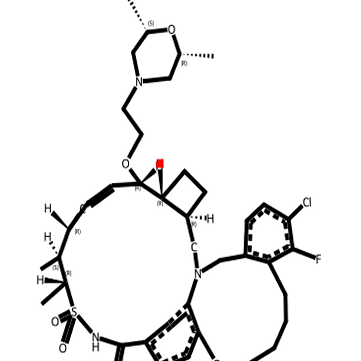 C[C@@H]1[C@@H](C)S(=O)(=O)NC(=O)c2ccc3c(c2)N(Cc2ccc(Cl)c(F)c2CCCCO3)C[C@@H]2CC[C@H]2[C@@H](OCCN2C[C@@H](C)O[C@@H](C)C2)C2=C[C@H]1C2